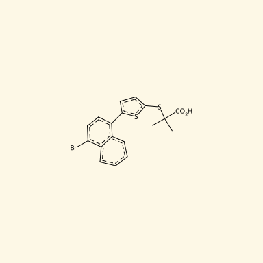 CC(C)(Sc1ccc(-c2ccc(Br)c3ccccc23)s1)C(=O)O